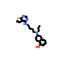 CCCN(CCCCNc1ncnc2sccc12)C1CCc2c(O)cccc2C1